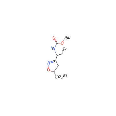 CCOC(=O)C1CC(C(CC(C)C)NC(=O)OC(C)(C)C)=NO1